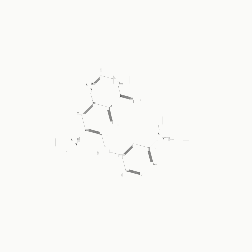 CN(C)c1cccc(Oc2cc3c(=O)[nH]cnc3cc2N)c1